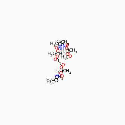 CC(=O)OCC(C)(C)COC(=O)NCC1(C)CC(NC(=O)OCC(C)(C)COC(=O)CCCCC(=O)OCC(C)(C)COC(=O)NCC2(C)CCCC(C)(C)C2)CC(C)(C)C1